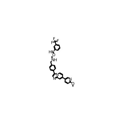 COc1ccc(-c2ccn3c(-c4ccc(CNCONc5cccc(C(F)(F)F)c5)cc4)cnc3c2)cn1